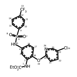 CCOC(=O)Nc1cc(NS(=O)(=O)c2ccc(C(F)(F)F)cc2)ccc1Oc1ccc(Cl)cn1